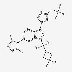 [2H]C([2H])(C1CC(F)(F)C1)n1cc(-c2cnn(CC(F)(F)F)c2)c2ncc(-c3c(C)noc3C)cc21